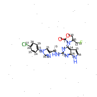 C[C@H](Nc1nc(N2C(=O)OC[C@H]2CF)c2cc[nH]c2n1)c1cn(-c2ccc(Cl)cc2)cn1